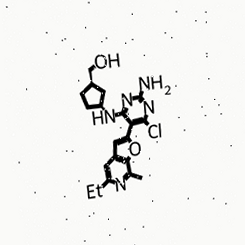 CCc1cc2cc(-c3c(Cl)nc(N)nc3N[C@H]3CC[C@@H](CO)C3)oc2c(C)n1